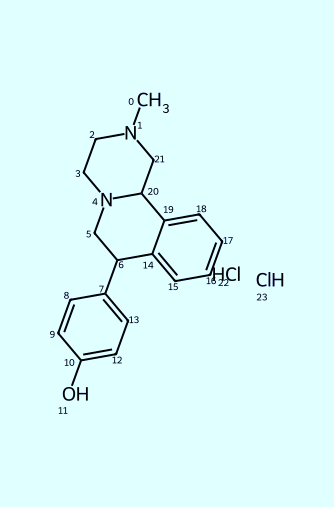 CN1CCN2CC(c3ccc(O)cc3)c3ccccc3C2C1.Cl.Cl